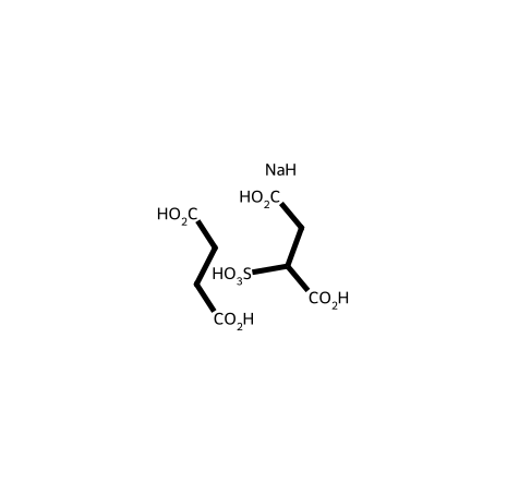 O=C(O)CC(C(=O)O)S(=O)(=O)O.O=C(O)CCC(=O)O.[NaH]